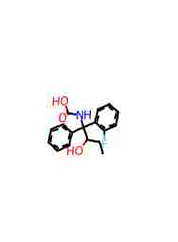 CCC(O)C(NC(=O)O)(c1ccccc1)c1ccccc1F